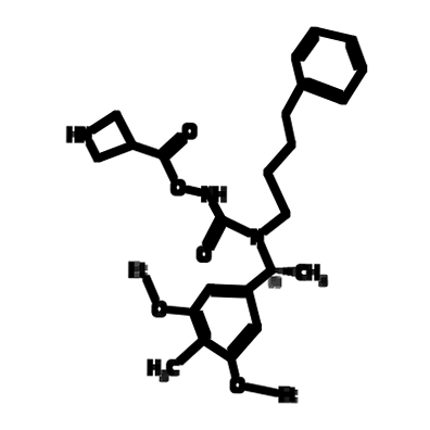 CCOc1cc([C@@H](C)N(CCCCc2ccccc2)C(=O)NOC(=O)C2CNC2)cc(OCC)c1C